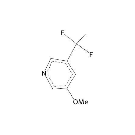 COc1cncc(C(C)(F)F)c1